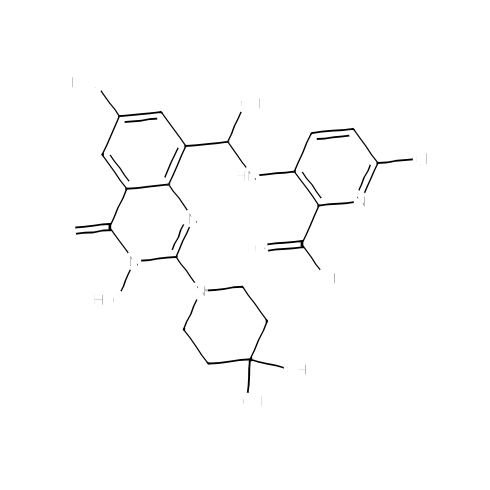 Cc1cc(C(C)Nc2ccc(Cl)nc2C(=O)O)c2nc(N3CCC(C)(C)CC3)n(C)c(=O)c2c1